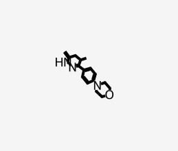 C=C1CC(C)C(c2ccc(N3CCOCC3)cc2)=NN1